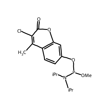 COP(Oc1ccc2c(C)c(Cl)c(=O)oc2c1)N(C(C)C)C(C)C